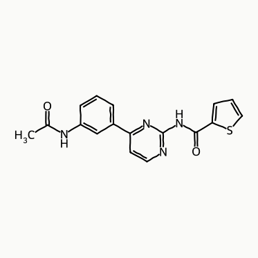 CC(=O)Nc1cccc(-c2ccnc(NC(=O)c3cccs3)n2)c1